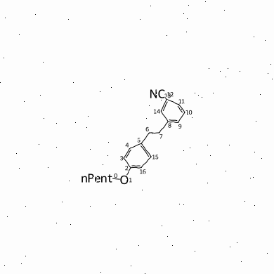 CCCCCOc1ccc(CCc2cccc(C#N)c2)cc1